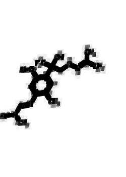 CCN(C)C=Nc1cc(OC)c(C(O)(CON=C(C)C)C(F)(F)F)cc1C